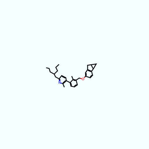 CCCC(CCC)Cc1ccc(-c2cccc(COc3ccc4c(c3)CC3CC43)c2C)c(C)n1